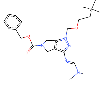 CN(C)/C=N/c1nn(COCC[Si](C)(C)C)c2c1CN(C(=O)OCc1ccccc1)C2